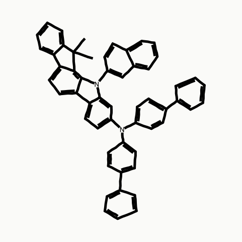 CC1(C)c2ccccc2-c2ccc3c4ccc(N(c5ccc(-c6ccccc6)cc5)c5ccc(-c6ccccc6)cc5)cc4n(-c4ccc5ccccc5c4)c3c21